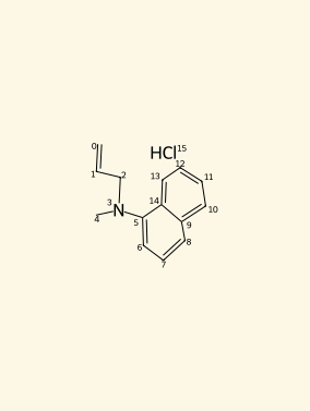 C=CCN(C)c1cccc2ccccc12.Cl